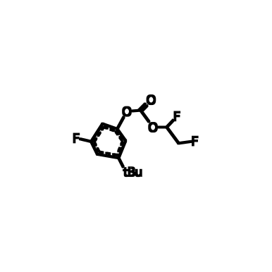 CC(C)(C)c1cc(F)cc(OC(=O)OC(F)CF)c1